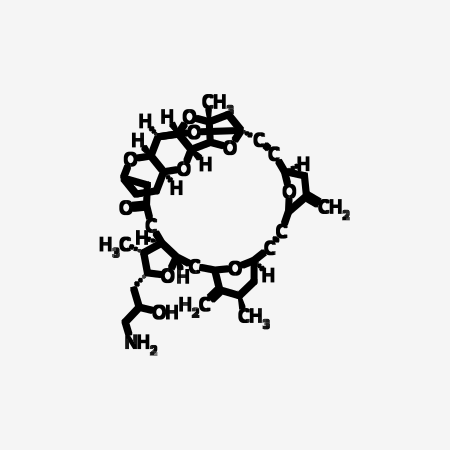 C=C1C[C@@H]2CC[C@@]34C[C@@]5(C)O[C@H]6[C@@H](O3)[C@H]3OC(CC[C@@H]3O[C@H]6C5O4)CC(=O)C[C@@H]3[C@@H](C)[C@@H](CC(O)CN)O[C@H]3CC3O[C@@H](CCC1O2)C[C@@H](C)C3=C